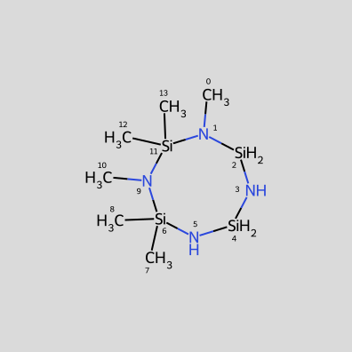 CN1[SiH2]N[SiH2]N[Si](C)(C)N(C)[Si]1(C)C